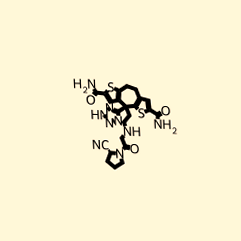 N#C[C@@H]1CCCN1C(=O)CNCCC1(c2nn[nH]n2)c2cc(C(N)=O)sc2CCc2cc(C(N)=O)sc21